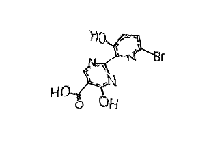 O=C(O)c1cnc(-c2nc(Br)ccc2O)nc1O